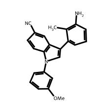 COc1cccc(-n2cc(-c3cccc(N)c3C)c3cc(C#N)ccc32)c1